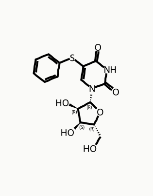 O=c1[nH]c(=O)n([C@@H]2O[C@H](CO)[C@@H](O)[C@H]2O)cc1Sc1ccccc1